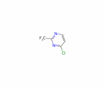 FC(F)(F)c1n[c]cc(Cl)n1